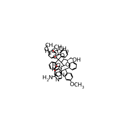 COc1ccc(C(c2ccccc2)(c2ccccc2)[C@@]2(n3cnc4c(N)ncnc43)O[C@H](CO)[C@@H](OC(=O)C(C)(C)C)[C@]2(O)C(c2ccccc2)(c2ccccc2)c2ccc(OC)cc2)cc1